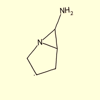 NC1C2C[CH]CN12